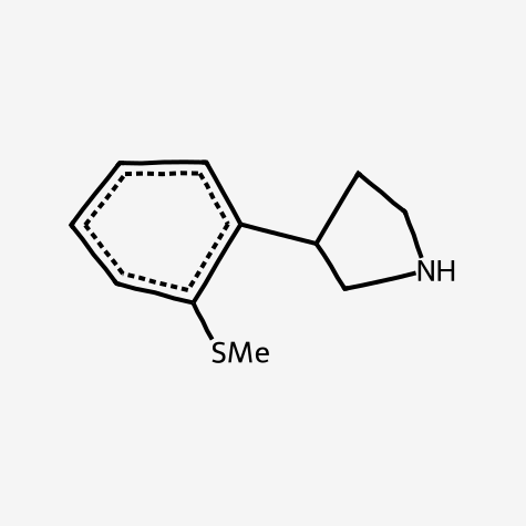 CSc1ccccc1C1CCNC1